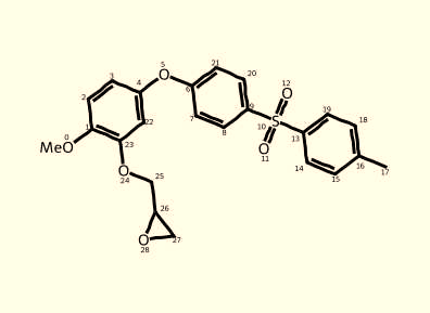 COc1ccc(Oc2ccc(S(=O)(=O)c3ccc(C)cc3)cc2)cc1OCC1CO1